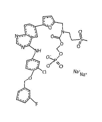 CS(=O)(=O)CCN(Cc1ccc(-c2ccc3ncnc(Nc4ccc(OCc5cccc(F)c5)c(Cl)c4)c3c2)o1)C(=O)OCOP(=O)([O-])[O-].[Na+].[Na+]